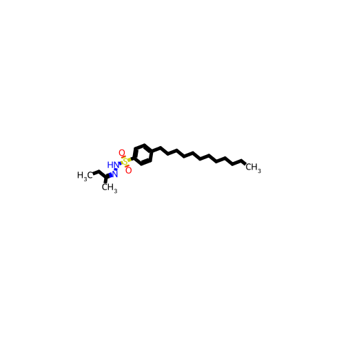 CCCCCCCCCCCCc1ccc(S(=O)(=O)NN=C(C)CC)cc1